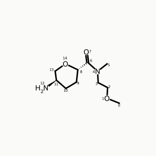 COCCN(C)C(=O)[C@@H]1CC[C@@H](N)CO1